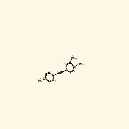 COc1ccc(C#Cc2ccc(O)cc2)cc1OC